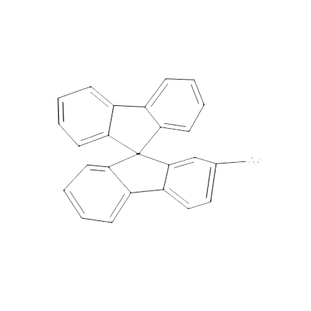 CC(=O)c1ccc2c(c1)C1(c3ccccc3-c3ccccc31)c1ccccc1-2